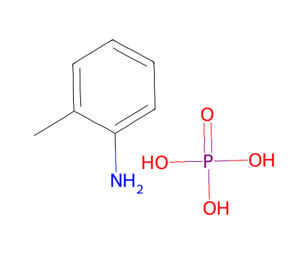 Cc1ccccc1N.O=P(O)(O)O